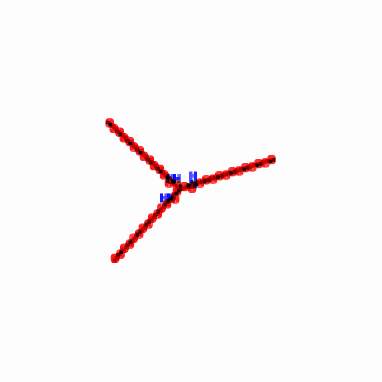 COCCOCCOCCOCCOCCOCCOCCOCCOCCOCCOCCOCCNC(=O)CCOCC(C)(COCCC(=O)NCCOCCOCCOCCOCCOCCOCCOCCOCCOCCOCCOCCOC)COCCC(=O)NCCOCCOCCOCCOCCOCCOCCOCCOCCOCCOCCOCCOC